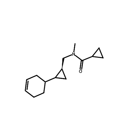 CN(C[C@H]1CC1C1CC=CCC1)C(=O)C1CC1